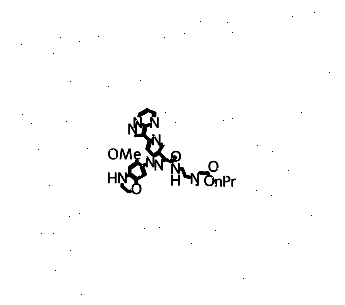 CCCOC(=O)CN(C)CCNC(=O)c1nn(-c2cc3c(cc2OC)NCCO3)c2cc(-c3cnn4cccnc34)ncc12